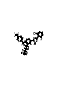 Cn1nc(-c2c(F)cccc2Cl)nc1-c1ccc(C(=O)c2ccc(C(F)(F)F)cn2)c(C(F)(F)C(F)(F)C(F)(F)C(F)(F)F)c1